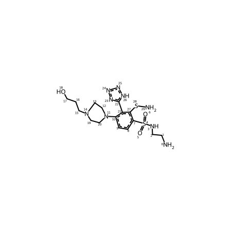 NCCNS(=O)(=O)c1ccc(N2CCN(CCCO)CC2)c(-c2nnn[nH]2)c1SN